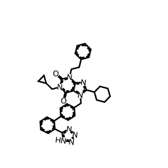 O=c1c2c(nc(C3CCCCC3)n2Cc2ccc(-c3ccccc3-c3nnn[nH]3)cc2)n(CCc2ccccc2)c(=O)n1CC1CC1